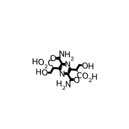 NC(=O)c1nc([C@H](CO)C(=O)O)c(C(N)=O)nc1[C@H](CO)C(=O)O